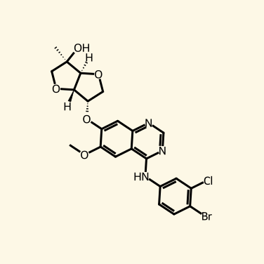 COc1cc2c(Nc3ccc(Br)c(Cl)c3)ncnc2cc1O[C@H]1CO[C@H]2[C@H]1OC[C@@]2(C)O